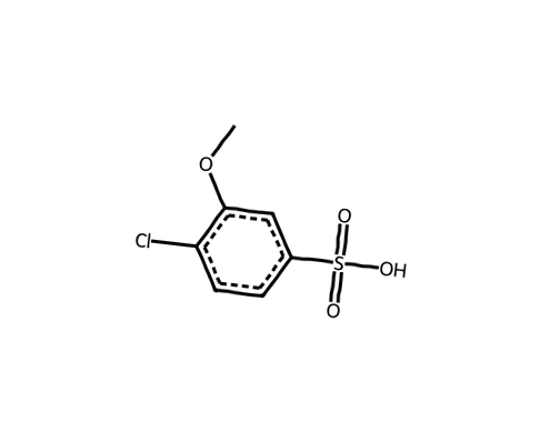 COc1cc(S(=O)(=O)O)ccc1Cl